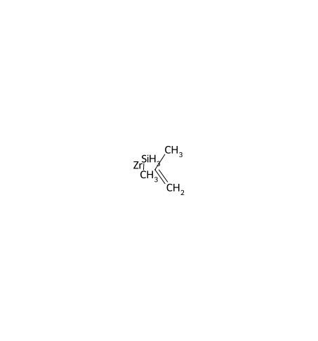 C=CC.C[SiH3].[Zr]